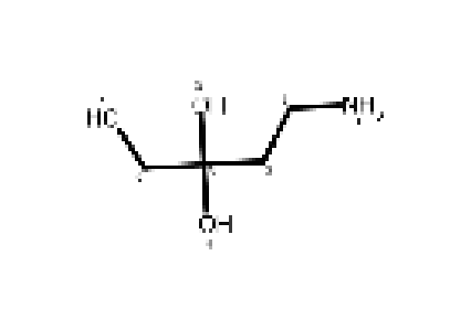 NCCC(O)(O)CO